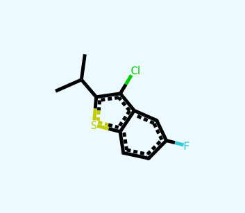 CC(C)c1sc2ccc(F)cc2c1Cl